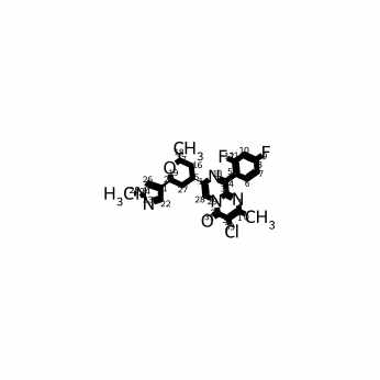 Cc1nc2c(-c3ccc(F)cc3F)nc([C@H]3C[C@@H](C)O[C@H](c4cnn(C)c4)C3)cn2c(=O)c1Cl